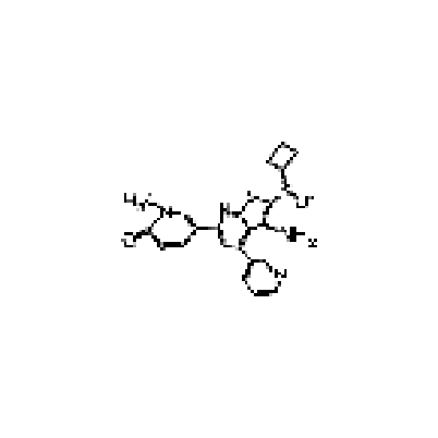 Cn1cc(-c2cc(-c3cccnc3)c3c(N)c([S+]([O-])C4CCC4)sc3n2)ccc1=O